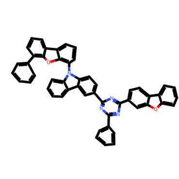 c1ccc(-c2nc(-c3ccc4c(c3)oc3ccccc34)nc(-c3ccc4c(c3)c3ccccc3n4-c3cccc4c3oc3c(-c5ccccc5)cccc34)n2)cc1